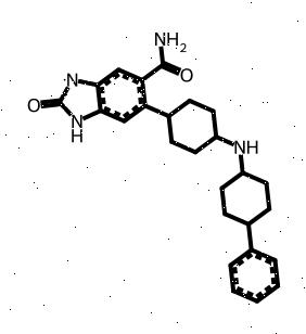 NC(=O)c1cc2c(cc1C1CCC(NC3CCC(c4ccccc4)CC3)CC1)NC(=O)[N]2